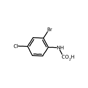 O=C(O)Nc1ccc(Cl)cc1Br